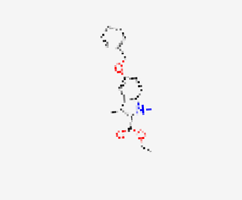 CCOC(=O)c1[nH]c2ccc(OCc3ccccc3)cc2c1C